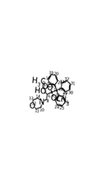 COOC(OC)(C(O)CN1CCOCC1)C(c1ccccc1)(c1ccccc1)c1ccccc1